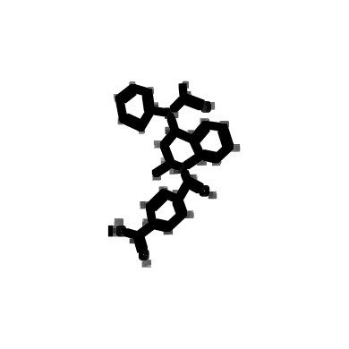 CC(=O)N(c1ccccc1)C1CC(C)N(C(=O)c2ccc(C(=O)O)cc2)c2ccccc21